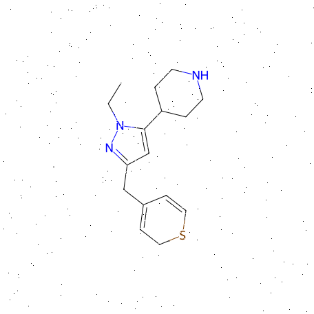 CCn1nc(CC2=CCSC=C2)cc1C1CCNCC1